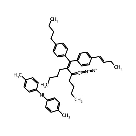 CCC=Cc1ccc(C(=C(CCCC)C(=C=[N+]=[N-])CCCC)c2ccc(CCCC)cc2)cc1.Cc1cc[c]([Ni][c]2ccc(C)cc2)cc1